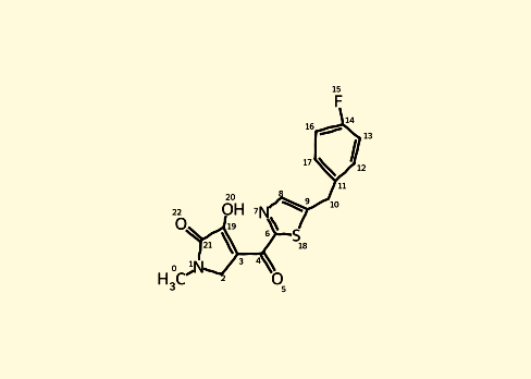 CN1CC(C(=O)c2ncc(Cc3ccc(F)cc3)s2)=C(O)C1=O